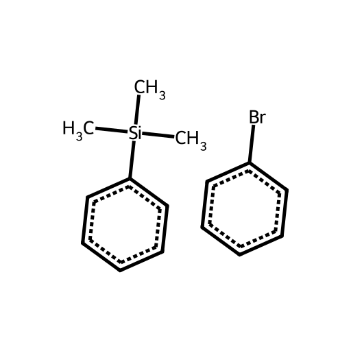 Brc1ccccc1.C[Si](C)(C)c1ccccc1